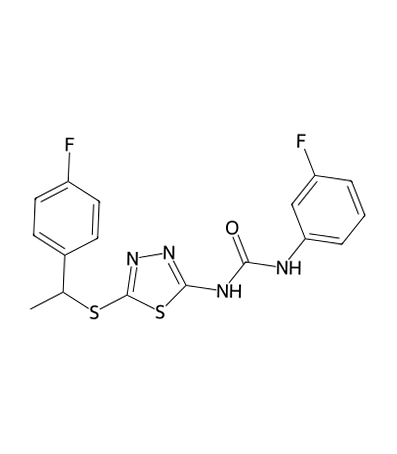 CC(Sc1nnc(NC(=O)Nc2cccc(F)c2)s1)c1ccc(F)cc1